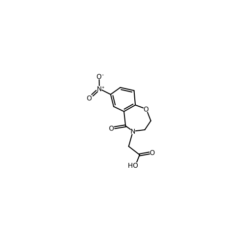 O=C(O)CN1CCOc2ccc([N+](=O)[O-])cc2C1=O